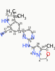 CC1OCCn2nc(Nc3nccc(-c4cc(C#N)c5c(c4)C(C)(C)CN5)n3)cc21